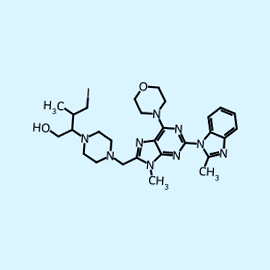 Cc1nc2ccccc2n1-c1nc(N2CCOCC2)c2nc(CN3CCN(C(CO)C(C)CI)CC3)n(C)c2n1